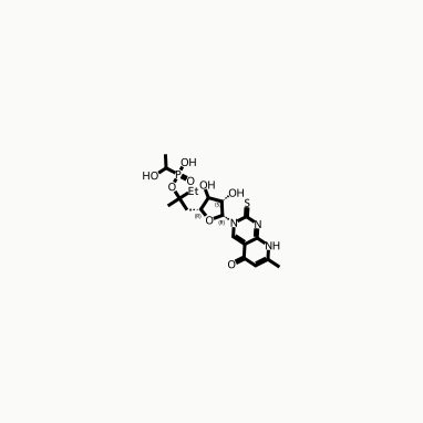 CCC(C)(C[C@H]1O[C@@H](n2cc3c(=O)cc(C)[nH]c3nc2=S)[C@@H](O)C1O)OP(=O)(O)C(C)O